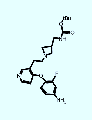 CC(C)(C)OC(=O)NCC1CN(CCc2cnccc2Oc2ccc(N)cc2F)C1